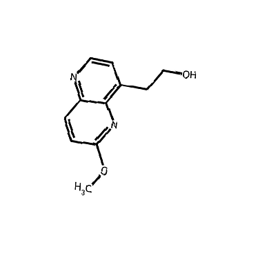 COc1ccc2nccc(CCO)c2n1